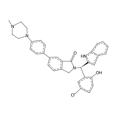 CN1CCN(c2ccc(-c3ccc4c(c3)C(=O)N([C@@H](c3cc5ccccc5[nH]3)c3cc(Cl)ccc3O)C4)cc2)CC1